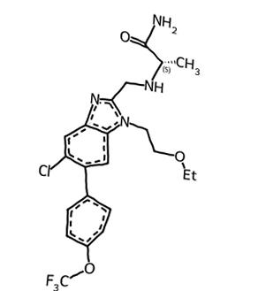 CCOCCn1c(CN[C@@H](C)C(N)=O)nc2cc(Cl)c(-c3ccc(OC(F)(F)F)cc3)cc21